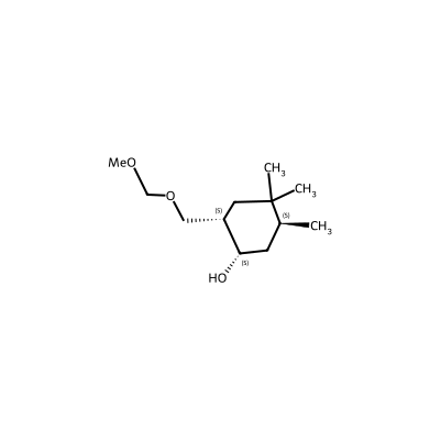 COCOC[C@@H]1CC(C)(C)[C@@H](C)C[C@@H]1O